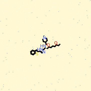 CCC(=O)CCCCC[C@H](NC(=O)C1CCN(C)CC1)c1ncc(-c2cc3ccccc3s2)[nH]1